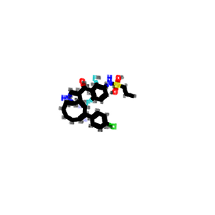 CCCS(=O)(=O)Nc1ccc(F)c(C(=O)c2c[nH]c3/c2=C\C(c2ccc(Cl)cc2)=C/CCC/C=3)c1F